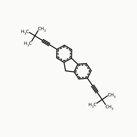 CC(C)(C)C#Cc1[c]c2c(cc1)-c1ccc(C#CC(C)(C)C)cc1C2